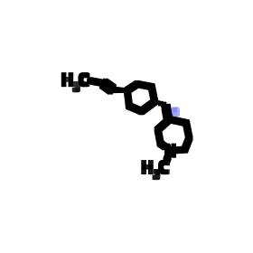 CC#C[C@H]1CC[C@H](/C=C2/CCCN(C)CC2)CC1